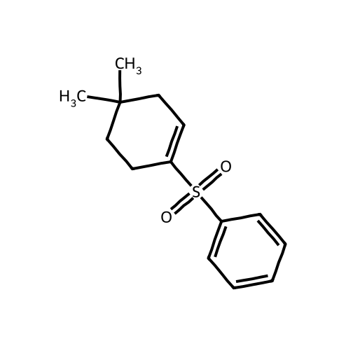 CC1(C)CC=C(S(=O)(=O)c2ccccc2)CC1